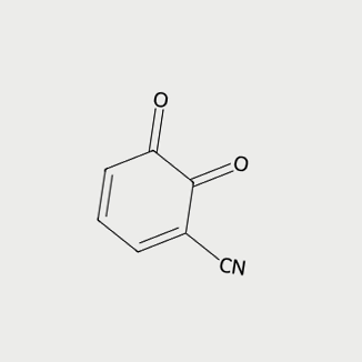 N#CC1=CC=CC(=O)C1=O